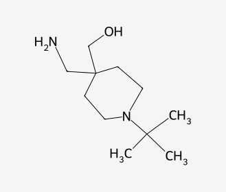 CC(C)(C)N1CCC(CN)(CO)CC1